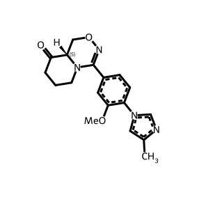 COc1cc(C2=NOC[C@H]3C(=O)CCCN23)ccc1-n1cnc(C)c1